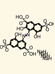 O=S(=O)(O)c1cc(O)c2c(/N=N/c3c(O)c(S(=O)(=O)O)cc4cc(S(=O)(=O)O)cc(O)c34)cc(S(=O)(=O)O)cc2c1.[NaH].[NaH].[NaH].[NaH]